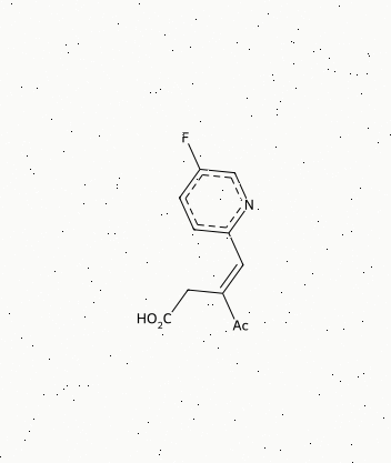 CC(=O)C(=Cc1ccc(F)cn1)CC(=O)O